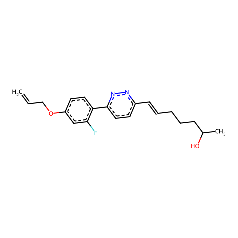 C=CCOc1ccc(-c2ccc(C=CCCCC(C)O)nn2)c(F)c1